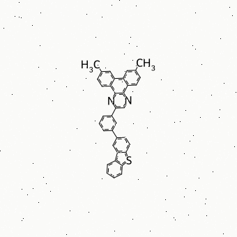 Cc1ccc2c(c1)c1cc(C)ccc1c1nc(-c3cccc(-c4ccc5sc6ccccc6c5c4)c3)cnc21